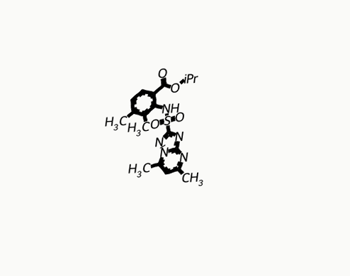 Cc1cc(C)n2nc(S(=O)(=O)Nc3c(C(=O)OC(C)C)ccc(C)c3C)nc2n1